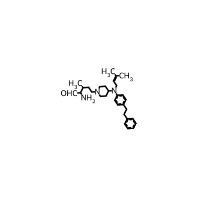 CC(C)=CCN(c1ccc(CCc2ccccc2)cc1)C1CCN(CCC(C)C(N)C=O)CC1